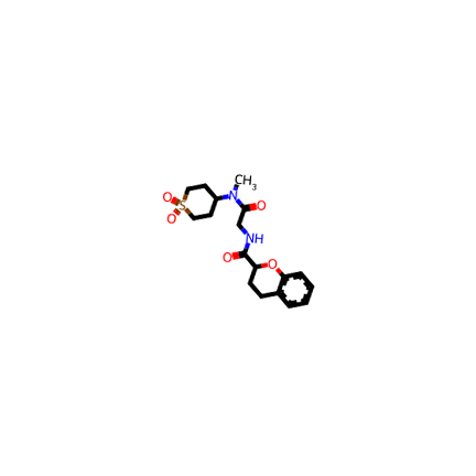 CN(C(=O)CNC(=O)C1CCc2ccccc2O1)C1CCS(=O)(=O)CC1